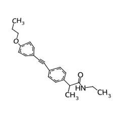 CCCOc1ccc(C#Cc2ccc(C(C)C(=O)NCC)cc2)cc1